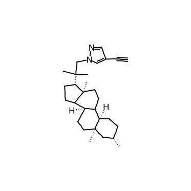 C#Cc1cnn(CC(C)(C)[C@H]2CCC3[C@@H]4CC[C@]5(C)C[C@@H](C)CC[C@@H]5C4CC[C@@]32C)c1